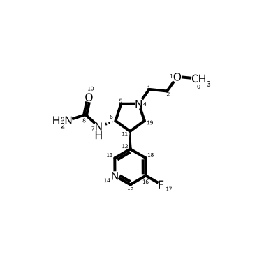 COCCN1C[C@@H](NC(N)=O)[C@H](c2cncc(F)c2)C1